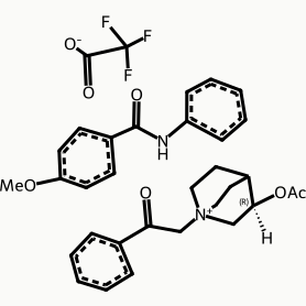 CC(=O)O[C@H]1C[N+]2(CC(=O)c3ccccc3)CCC1CC2.COc1ccc(C(=O)Nc2ccccc2)cc1.O=C([O-])C(F)(F)F